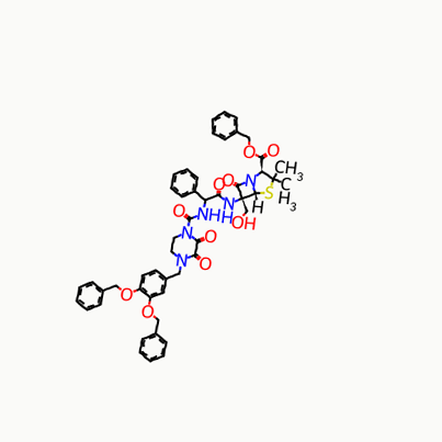 CC1(C)S[C@H]2N(C(=O)[C@@]2(CO)NC(=O)C(NC(=O)N2CCN(Cc3ccc(OCc4ccccc4)c(OCc4ccccc4)c3)C(=O)C2=O)c2ccccc2)[C@H]1C(=O)OCc1ccccc1